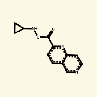 O=C(ONC1CC1)c1ccc2cnccc2n1